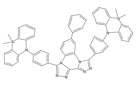 C[Si]1(C)c2ccccc2N(c2ccc(-c3nnc4c5nnc(-c6ccc(N7c8ccccc8[Si](C)(C)c8ccccc87)cc6)n5c5cc(-c6ccccc6)ccc5n34)cc2)c2ccccc21